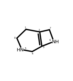 C1CC2=C(CN1)NC2